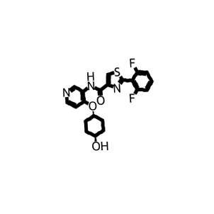 O=C(Nc1cnccc1O[C@H]1CC[C@H](O)CC1)c1csc(-c2c(F)cccc2F)n1